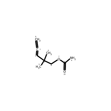 C=C=CC(C)(C)COC(N)=O